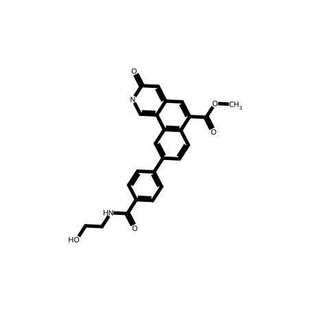 COC(=O)c1cc2c(c3cc(-c4ccc(C(=O)NCCO)cc4)ccc13)=C[N]C(=O)C=2